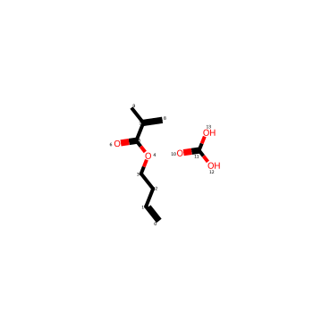 C=CCCOC(=O)C(=C)C.O=C(O)O